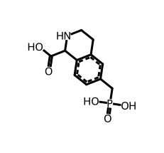 O=C(O)C1NCCc2cc(CP(=O)(O)O)ccc21